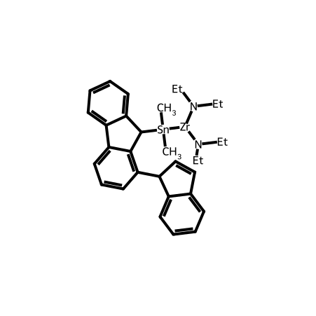 CC[N](CC)[Zr]([N](CC)CC)[Sn]([CH3])([CH3])[CH]1c2ccccc2-c2cccc(C3C=Cc4ccccc43)c21